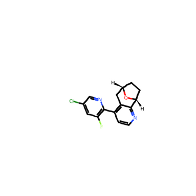 Fc1cc(Cl)cnc1-c1ccnc2c1C[C@@H]1CC[C@H]2O1